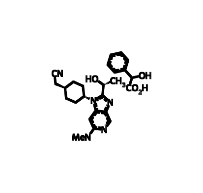 CNc1cc2c(cn1)nc([C@@H](C)O)n2[C@H]1CC[C@H](CC#N)CC1.O=C(O)C(O)c1ccccc1